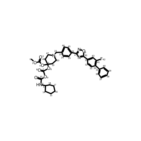 COC(=O)OC1(OC(=O)OC(=O)NC2CCCCC2)CCN(Cc2ccc(-c3noc(-c4ccc(-c5ccccc5)c(F)c4)n3)cc2)CC1